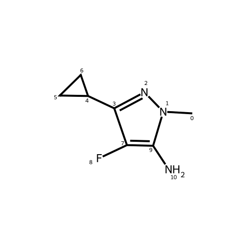 Cn1nc(C2CC2)c(F)c1N